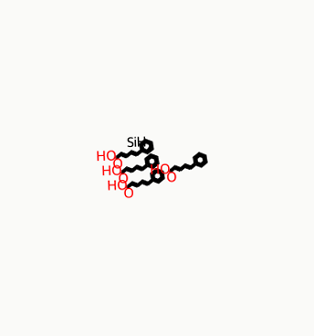 O=C(O)C=CC=Cc1ccccc1.O=C(O)C=CC=Cc1ccccc1.O=C(O)C=CC=Cc1ccccc1.O=C(O)C=CC=Cc1ccccc1.[SiH4]